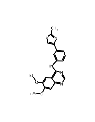 CCCOc1cc2ncnc(Nc3cccc(-c4csc(C)n4)c3)c2cc1OCC